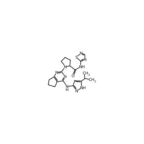 CC(C)c1cc(Nc2nc(N3CCCC3C(=O)Nc3ncns3)nc3c2CCC3)n[nH]1